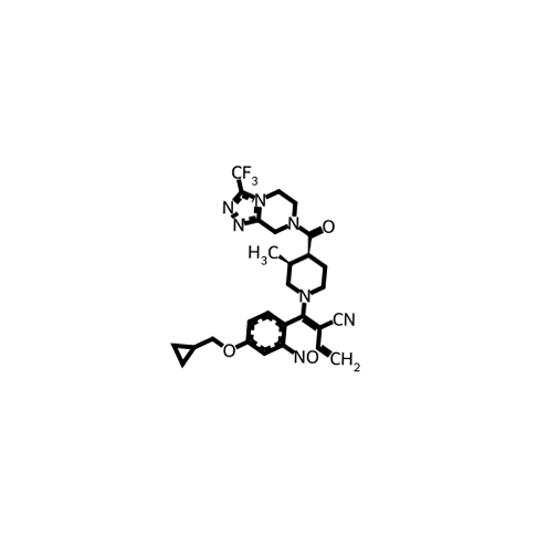 C=C/C(C#N)=C(\c1ccc(OCC2CC2)cc1N=O)N1CC[C@H](C(=O)N2CCn3c(nnc3C(F)(F)F)C2)[C@H](C)C1